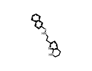 c1ccc2cc(SNCCc3ccc4c(n3)NCCC4)ccc2c1